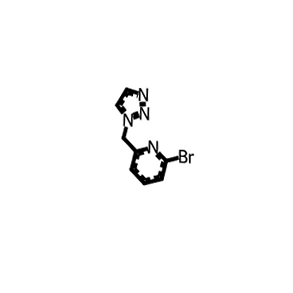 Brc1cccc(Cn2ccnn2)n1